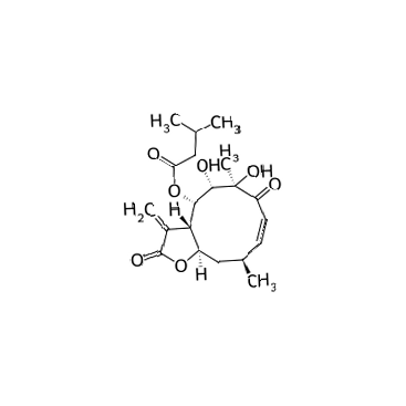 C=C1C(=O)O[C@@H]2C[C@H](C)/C=C\C(=O)[C@](C)(O)[C@@H](O)[C@@H](OC(=O)CC(C)C)[C@@H]12